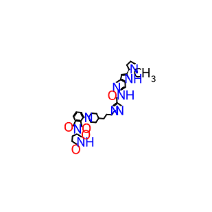 CN1CCC[C@@H]1c1cc2cnc(NC(=O)c3cnn(CCCC4CCN(c5cccc6c5C(=O)N(C5CCC(=O)NC5=O)C6=O)CC4)c3)cc2[nH]1